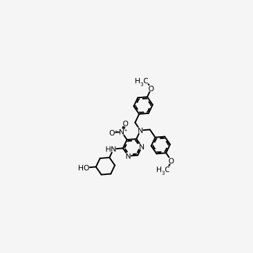 COc1ccc(CN(Cc2ccc(OC)cc2)c2ncnc(NC3CCCC(O)C3)c2[N+](=O)[O-])cc1